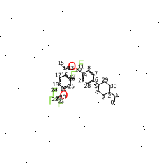 CCC1CCC(c2ccc(C(F)(F)OC(C)c3ccc(OC(F)(F)F)cc3)cc2)CC1